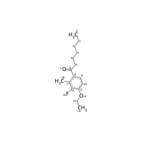 CCCCCCC(=O)c1ccc(OCC)c(F)c1C